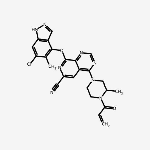 C=CC(=O)N1CCN(c2ncnc3c(Oc4c(C)c(Cl)cc5[nH]ncc45)nc(C#N)cc23)CC1C